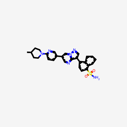 CC1CCN(c2ccc(-c3cnc4c(-c5ccc(S(N)(=O)=O)c6ccccc56)cnn4c3)cn2)CC1